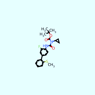 CSc1ccccc1-c1ccc(NC(=O)N(C(=O)OC(C)(C)C)C2CC2)c(F)c1